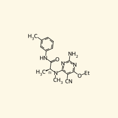 CCOc1nc(N)nc(N(C)[C@@H](C)C(=O)Nc2cccc(C)c2)c1C#N